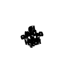 CO.O=[PH](O)OP(=O)(O)O[PH](=O)O